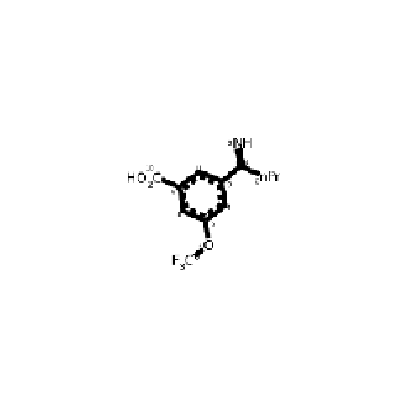 CCCC(=N)c1cc(OC(F)(F)F)cc(C(=O)O)c1